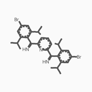 CC(C)c1cc(Br)cc(C(C)C)c1C(=N)c1cccc(C(=N)c2c(C(C)C)cc(Br)cc2C(C)C)n1